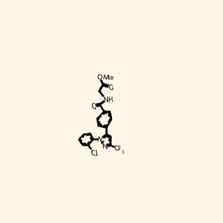 COC(=O)CNC(=O)c1ccc(-c2cc(C(F)(F)F)nn2-c2ccccc2Cl)cc1